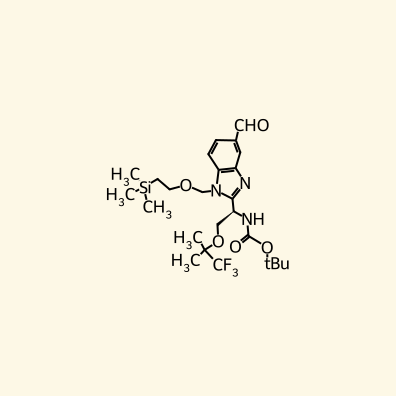 CC(C)(C)OC(=O)N[C@@H](COC(C)(C)C(F)(F)F)c1nc2cc(C=O)ccc2n1COCC[Si](C)(C)C